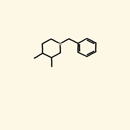 CC1CCN(Cc2ccccc2)CC1C